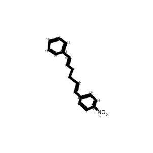 O=[N+]([O-])c1ccc(C=CC[CH]C=Cc2ccccc2)cc1